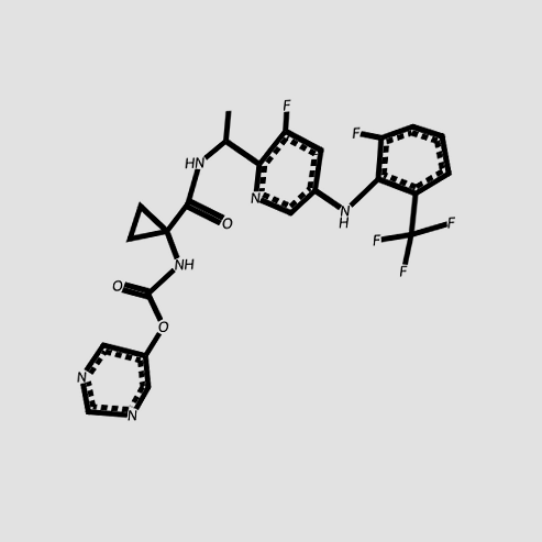 CC(NC(=O)C1(NC(=O)Oc2cncnc2)CC1)c1ncc(Nc2c(F)cccc2C(F)(F)F)cc1F